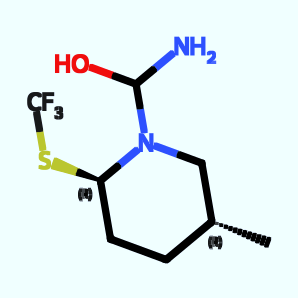 C[C@@H]1CC[C@@H](SC(F)(F)F)N(C(N)O)C1